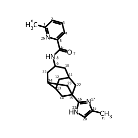 Cc1cccc(C(=O)NC2CC3CC4CC(c5nc(C)c[nH]5)(C3)CC4C2)n1